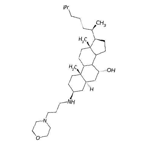 CC(C)CCC[C@@H](C)[C@H]1CCC2C3C(CC[C@@]21C)[C@@]1(C)CC[C@H](NCCCN2CCOCC2)C[C@@H]1C[C@H]3O